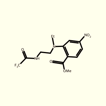 CCN(CCNC(=O)C(F)(F)F)c1cc([N+](=O)[O-])ccc1C(=O)OC